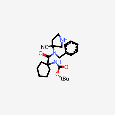 CC(C)(C)OC(=O)NC1(C(=O)N(Cc2ccccc2)C2(C#N)CCNC2)CCCCC1